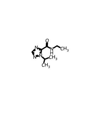 CCNC(=O)c1ncnn1C(C)C